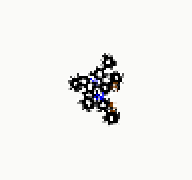 c1ccc(-c2ccc(N3B4c5cc6c(cc5N(c5ccc7c(c5)sc5ccccc57)c5c4c(cc4ccccc54)-c4c3ccc3ccccc43)sc3ccccc36)cc2)cc1